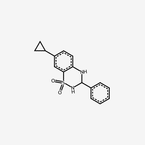 O=S1(=O)NC(c2ccccc2)Nc2ccc(C3CC3)cc21